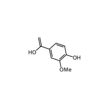 C=C(O)c1ccc(O)c(OC)c1